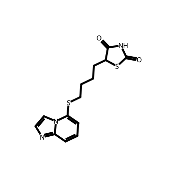 O=C1NC(=O)C(CCCCSc2cccc3nccn23)S1